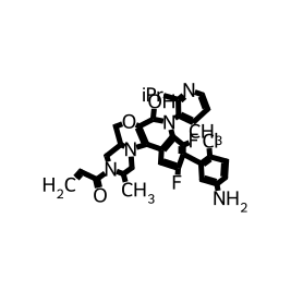 C=CC(=O)N1CC2COC3=C(c4cc(F)c(-c5cc(N)ccc5Cl)c(F)c4N(c4c(C)ccnc4C(C)C)C3O)N2CC1C